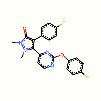 Cn1c(-c2ccnc(Oc3ccc(F)cc3)n2)c(-c2ccc(F)cc2)c(=O)n1C